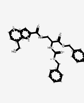 O=C(NC(CNC(=O)c1cc2nccc(CO)c2s1)C(=O)OCc1ccccc1)OCc1ccccc1